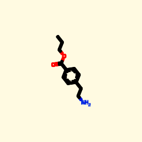 CCCOC(=O)c1ccc(CCN)cc1